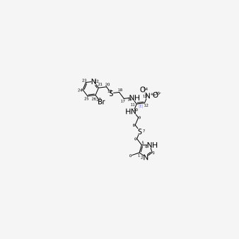 Cc1nc[nH]c1CSCCN/C(=C/[N+](=O)[O-])NCCSCc1ncccc1Br